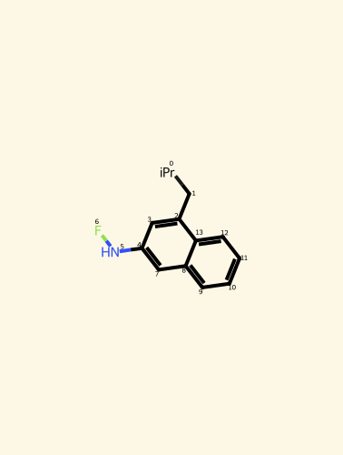 CC(C)Cc1cc(NF)cc2ccccc12